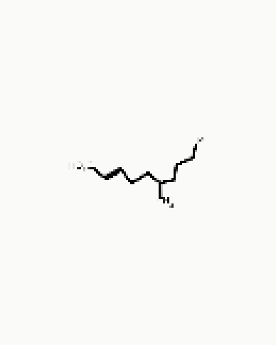 CC(C)CCCC(C)CCC=CC(=O)O